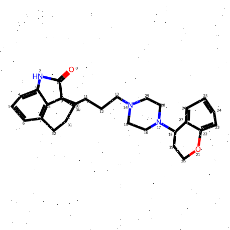 O=C1Nc2cccc3c2C1(CCCCN1CCN(C2CCOc4ccccc42)CC1)CCC3